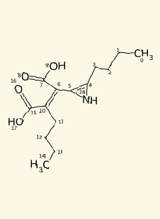 CCCCC1=C(/C(C(=O)O)=C(\CCCC)C(=O)O)N1